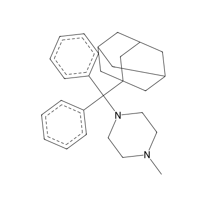 CN1CCN(C(c2ccccc2)(c2ccccc2)C23CC4CC(CC(C4)C2)C3)CC1